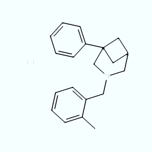 Cc1ccccc1CN1CC2CC(c3ccccc3)(C2)C1.Cl